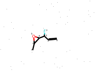 C=CC(F)C1OC1C